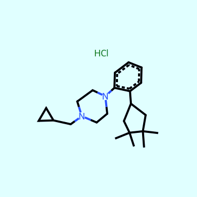 CC1(C)CC(c2ccccc2N2CCN(CC3CC3)CC2)CC1(C)C.Cl